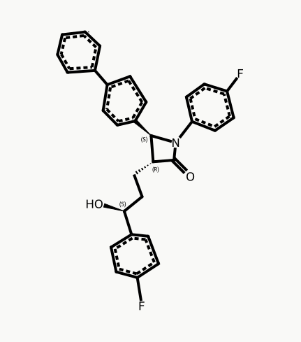 O=C1[C@H](CC[C@H](O)c2ccc(F)cc2)[C@@H](c2ccc(-c3c[c]ccc3)cc2)N1c1ccc(F)cc1